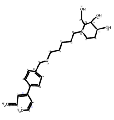 C=C/C=C(\C=C/C)c1ccc(COCCCCCN2CCC(O)C(O)C2CO)cc1